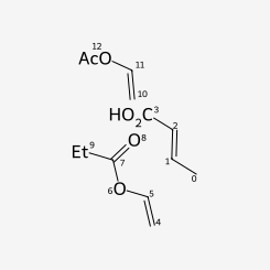 C/C=C/C(=O)O.C=COC(=O)CC.C=COC(C)=O